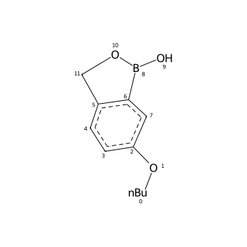 CCCCOc1ccc2c(c1)B(O)OC2